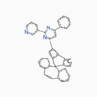 C1=Cc2ccccc2C2(c3ccccc31)c1ccccc1-c1cc(-c3cc(-c4ccccc4)nc(-c4cccnc4)n3)ccc12